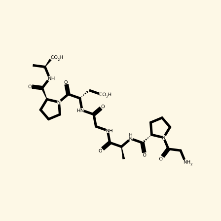 C[C@H](NC(=O)[C@@H]1CCCN1C(=O)[C@H](CC(=O)O)NC(=O)CNC(=O)[C@H](C)NC(=O)[C@@H]1CCCN1C(=O)CN)C(=O)O